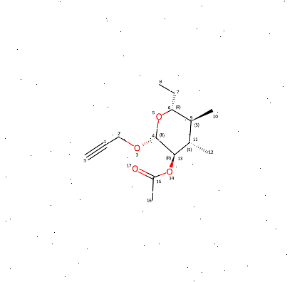 C#CCO[C@@H]1O[C@H](CC)[C@@H](C)[C@H](C)[C@H]1OC(C)=O